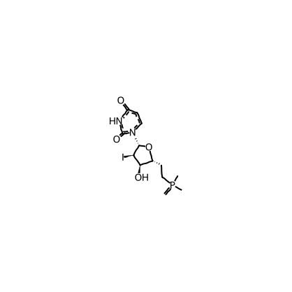 C=P(C)(C)CC[C@H]1O[C@@H](n2ccc(=O)[nH]c2=O)[C@H](I)[C@@H]1O